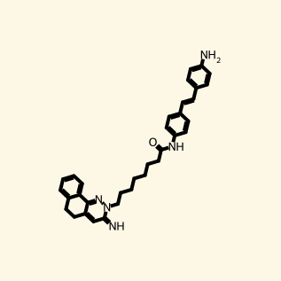 N=c1cc2c(nn1CCCCCCCC(=O)Nc1ccc(/C=C/c3ccc(N)cc3)cc1)-c1ccccc1CC2